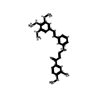 COc1ccc(C(=O)C=CNc2cccc(C=Cc3cc(OC)c(OC)c(OC)c3)c2)cc1N